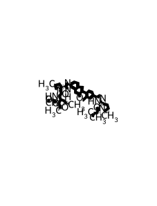 COC(=O)N[C@H](C(=O)N1C[C@@H](C)C[C@H]1c1nc2ccc3cc4c(cc3c2[nH]1)OCc1cc(-c2cnc([C@@H]3CC[C@H](C)N3C(=O)[CH]C(C)C)[nH]2)ccc1-4)C1C[C@@H](C)O[C@H](C)C1